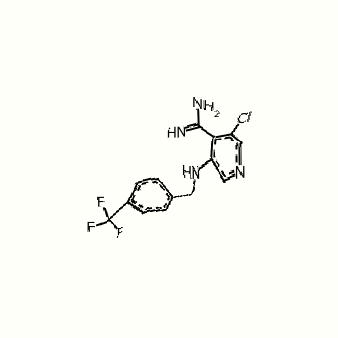 N=C(N)c1c(Cl)cncc1NCc1ccc(C(F)(F)F)cc1